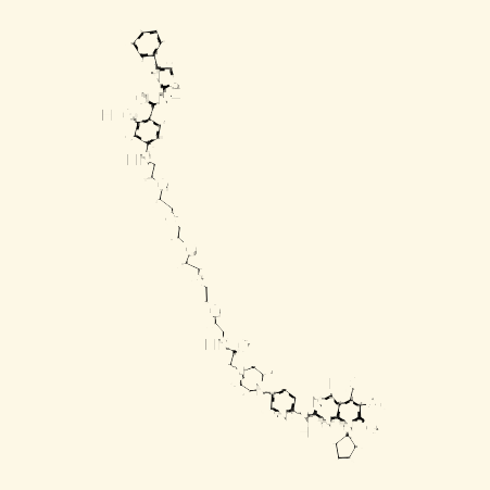 CC(=O)c1c(C)c2cnc(Nc3ccc(N4CCN(CC(=O)NCCOCCOCCOCCOCCOCCNc5ccc(C(=O)Nc6nc(-c7ccccc7)cs6)c(C)c5)CC4)cn3)nc2n(C2CCCC2)c1=O